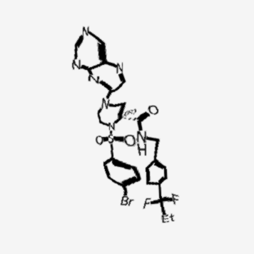 CCC(F)(F)c1ccc(CNC(=O)[C@H]2CN(c3cnc4cncnc4n3)CCN2S(=O)(=O)c2ccc(Br)cc2)cc1